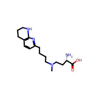 CN(CCCCc1ccc2c(n1)NCCC2)CC[C@H](N)C(=O)O